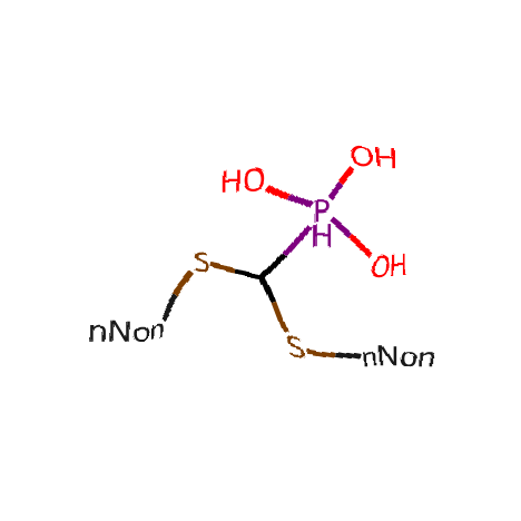 CCCCCCCCCSC(SCCCCCCCCC)[PH](O)(O)O